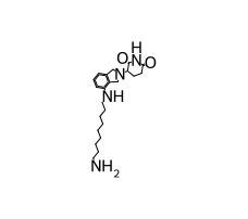 NCCCCCCCCCNc1cccc2c1CN(C1CCC(=O)NC1=O)C2